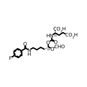 O=CO[C@H](CCCCNC(=O)c1ccc(F)cc1)OC(=O)N[C@@H](CCC(=O)O)C(=O)O